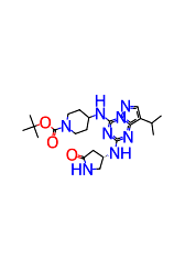 CC(C)c1cnn2c(NC3CCN(C(=O)OC(C)(C)C)CC3)nc(N[C@@H]3CNC(=O)C3)nc12